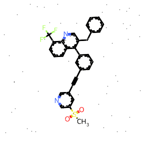 CS(=O)(=O)c1cncc(C#Cc2cccc(-c3c(Cc4ccccc4)cnc4c(C(F)(F)F)cccc34)c2)c1